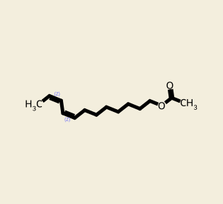 C/C=C\C=C/CCCCCCCOC(C)=O